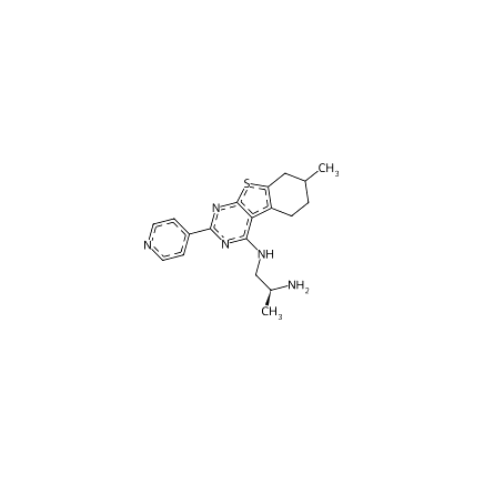 CC1CCc2c(sc3nc(-c4ccncc4)nc(NC[C@H](C)N)c23)C1